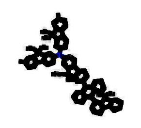 CCCCCCC1(CCCCCC)c2cc(-c3c4ccccc4c(-c4cccc5c4C(CCCC)(CCCC)c4ccccc4-5)c4ccccc34)ccc2-c2ccc(N(c3ccc4c(c3)C(CCCC)(CCCC)c3cc(C)ccc3-4)c3ccc4c(c3)C(CCCC)(CCCC)c3cc(C)ccc3-4)cc21